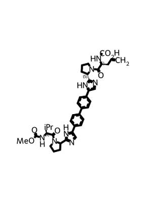 C=CC[C@H](NC(=O)O)C(=O)N1CCC[C@H]1c1ncc(-c2ccc(-c3ccc(-c4cnc(C5CCCN5C(=O)[C@@H](NC(=O)OC)C(C)C)[nH]4)cc3)cc2)[nH]1